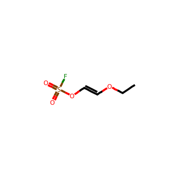 CCOC=COS(=O)(=O)F